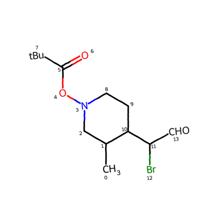 CC1CN(OC(=O)C(C)(C)C)CCC1C(Br)C=O